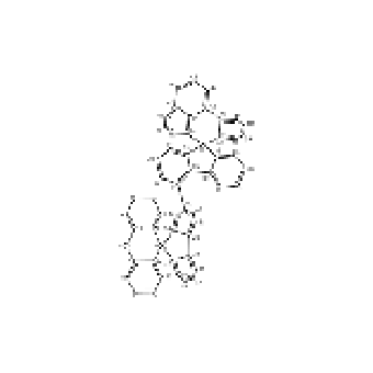 c1ccc2c(c1)Oc1ccccc1C21c2ccccc2-c2ccc(-c3cccc4c3-c3ccccc3C43c4ccccc4-c4cccc5cccc3c45)cc21